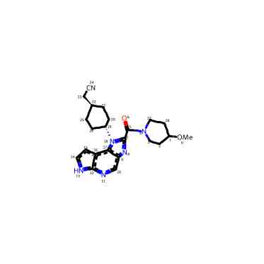 COC1CCN(C(=O)c2nc3cnc4[nH]ccc4c3n2[C@H]2CC[C@H](CC#N)CC2)CC1